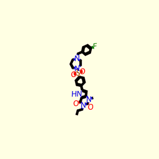 CCCn1c(=O)c2[nH]c(-c3ccc(S(=O)(=O)N4CCCN(Cc5ccc(F)cc5)CC4)cc3)cc2n(C)c1=O